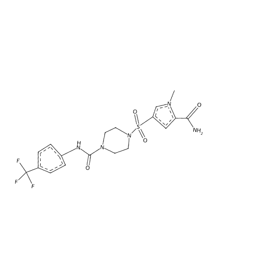 Cn1cc(S(=O)(=O)N2CCN(C(=O)Nc3ccc(C(F)(F)F)cc3)CC2)cc1C(N)=O